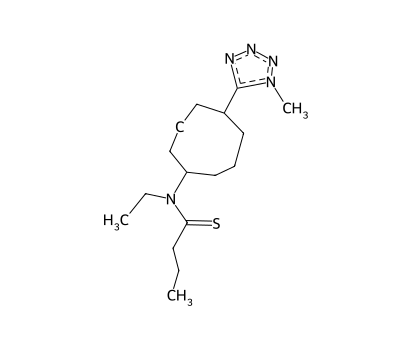 CCCC(=S)N(CC)C1CCCC(c2nnnn2C)CCC1